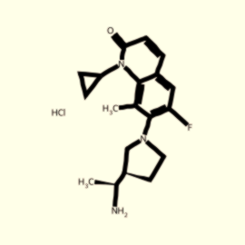 Cc1c(N2CC[C@@H]([C@H](C)N)C2)c(F)cc2ccc(=O)n(C3CC3)c12.Cl